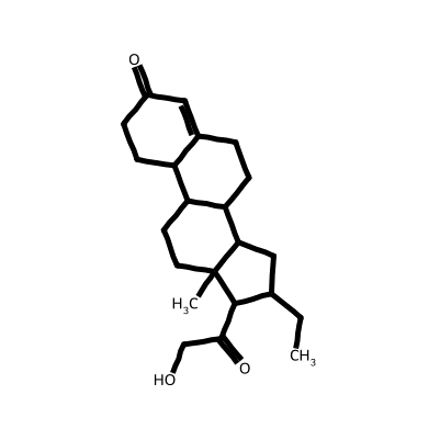 CCC1CC2C3CCC4=CC(=O)CCC4C3CCC2(C)C1C(=O)CO